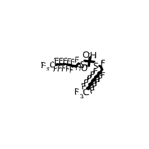 OCC(CO)(CSC(F)CC(F)(F)C(F)(F)C(F)(F)C(F)(F)C(F)(F)C(F)(F)F)CSC(F)CC(F)(F)C(F)(F)C(F)(F)C(F)(F)C(F)(F)C(F)(F)F